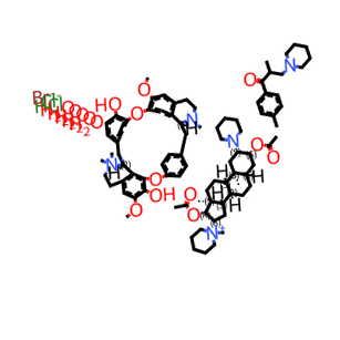 CC(=O)O[C@H]1C[C@@H]2CC[C@@H]3[C@H](CC[C@@]4(C)[C@H]3C[C@H]([N+]3(C)CCCCC3)[C@@H]4OC(C)=O)[C@@]2(C)C[C@@H]1N1CCCCC1.COc1cc2c3cc1Oc1cc(ccc1O)C[C@@H]1c4c(cc(OC)c(O)c4Oc4ccc(cc4)C[C@@H]3N(C)CC2)CC[N+]1(C)C.Cc1ccc(C(=O)C(C)CN2CCCCC2)cc1.Cl.O.O.O.O.O.[Br-].[Cl-]